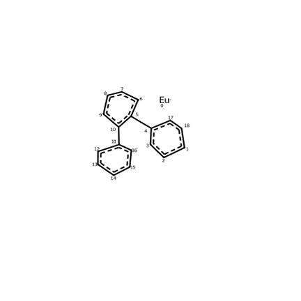 [Eu].c1ccc(-c2ccccc2-c2ccccc2)cc1